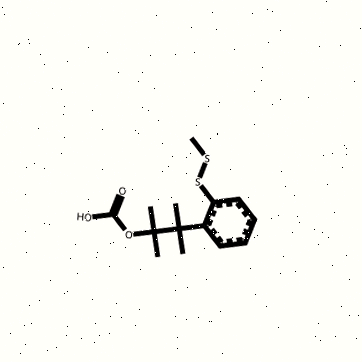 CSSc1ccccc1C(C)(C)C(C)(C)OC(=O)O